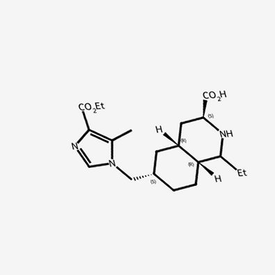 CCOC(=O)c1ncn(C[C@H]2CC[C@H]3C(CC)N[C@H](C(=O)O)C[C@H]3C2)c1C